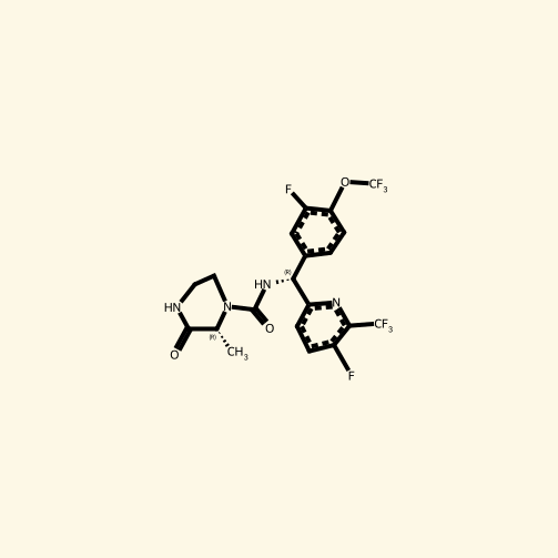 C[C@@H]1C(=O)NCCN1C(=O)N[C@H](c1ccc(OC(F)(F)F)c(F)c1)c1ccc(F)c(C(F)(F)F)n1